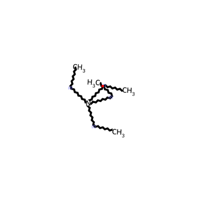 CCCCCCCC/C=C\CCCCCCCC[N+](CCCCCCCC/C=C\CCCCCCCC)(CCCCCCCC/C=C\CCCCCCCC)CCCCCCCC/C=C\CCCCCCCC